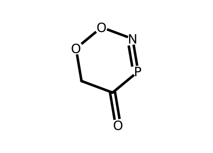 O=C1COON=P1